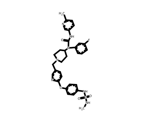 CNS(=O)(=O)Nc1ccc(Oc2ccc(CN3CCC(N(C(=O)Nc4ccc(C)nc4)c4cccc(F)c4)CC3)cn2)cc1